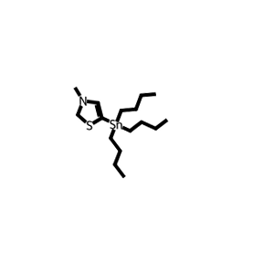 CCC[CH2][Sn]([CH2]CCC)([CH2]CCC)[C]1=CN(C)CS1